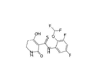 O=C1NCCC(O)=C1C(=S)Nc1cc(F)cc(F)c1OC(F)F